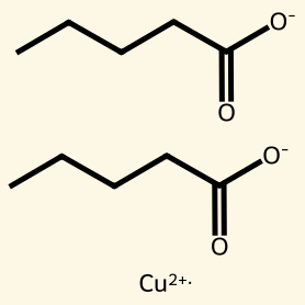 CCCCC(=O)[O-].CCCCC(=O)[O-].[Cu+2]